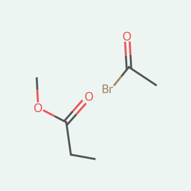 CC(=O)Br.CCC(=O)OC